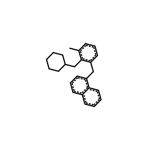 Cc1[c]ccc(Cc2cccc3ccccc23)c1CC1CCCCC1